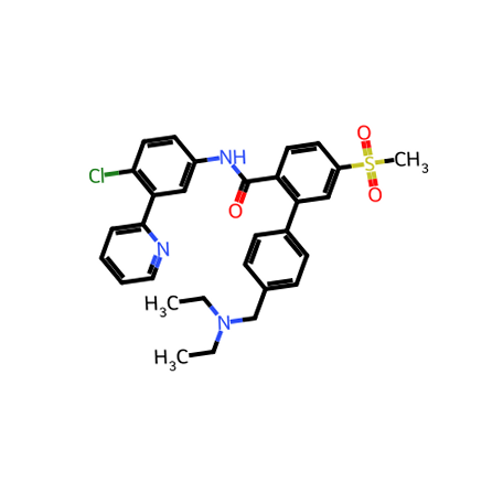 CCN(CC)Cc1ccc(-c2cc(S(C)(=O)=O)ccc2C(=O)Nc2ccc(Cl)c(-c3ccccn3)c2)cc1